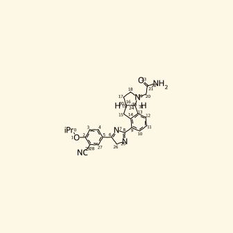 CC(C)Oc1ccc(C2=NC(c3cccc4c3C[C@H]3CCN(CC(N)=O)[C@@H]43)=NC2)cc1C#N